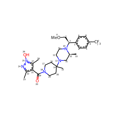 COC[C@@H](c1ccc(C(F)(F)F)cc1)N1CCN(C2(C)CCN(C(=O)c3c(C)nn(O)c3C)CC2)C[C@@H]1C